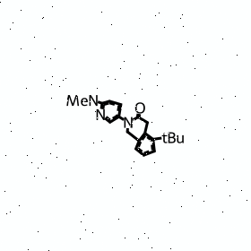 CNc1ccc(N2Cc3cccc(C(C)(C)C)c3CC2=O)cn1